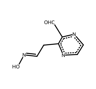 O=Cc1nccnc1CC=NO